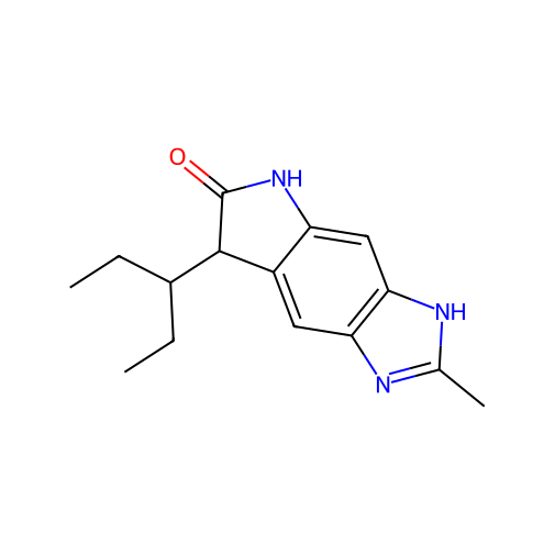 CCC(CC)C1C(=O)Nc2cc3[nH]c(C)nc3cc21